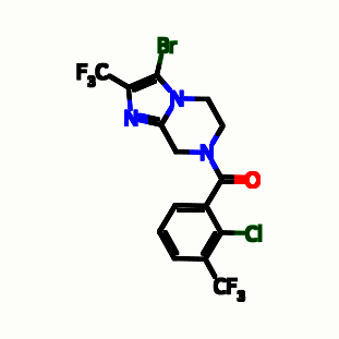 O=C(c1cccc(C(F)(F)F)c1Cl)N1CCn2c(nc(C(F)(F)F)c2Br)C1